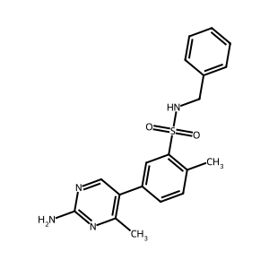 Cc1ccc(-c2cnc(N)nc2C)cc1S(=O)(=O)NCc1ccccc1